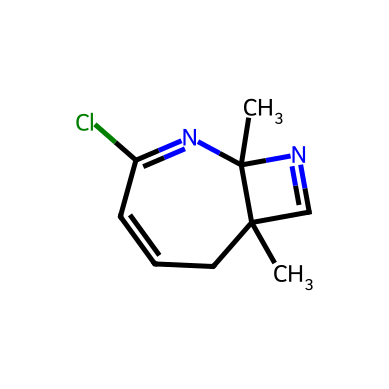 CC12C=NC1(C)N=C(Cl)C=CC2